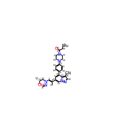 C=NN(/C=C(\C)c1cc(-c2ccc(N3CCN(C(=O)CC(C)(C)C)CC3)cc2)c2c(C#N)cnn2c1)C[C@@H](C)O